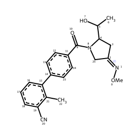 CO/N=C1/CC(C(C)O)N(C(=O)c2ccc(-c3cccc(C#N)c3C)cc2)C1